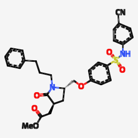 COC(=O)C[C@@H]1C[C@@H](COc2ccc(S(=O)(=O)Nc3ccc(C#N)cc3)cc2)N(CCCc2ccccc2)C1=O